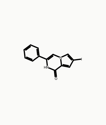 O=c1[nH]c(-c2ccccc2)cn2cc(I)cc12